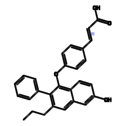 CCCc1cc2cc(O)ccc2c(Oc2ccc(/C=C/C(=O)O)cc2)c1-c1ccccc1